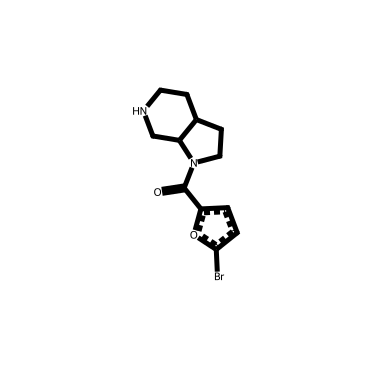 O=C(c1ccc(Br)o1)N1CCC2CCNCC21